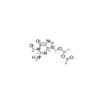 CC(=O)OC(C)OCn1cnc2c(=O)n(C=O)c(N)nc21